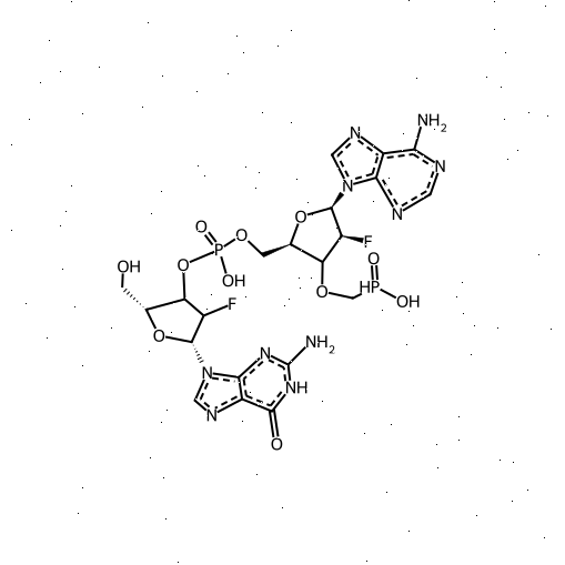 Nc1nc2c(ncn2[C@@H]2O[C@H](CO)C(OP(=O)(O)OC[C@H]3O[C@@H](n4cnc5c(N)ncnc54)[C@@H](F)C3OC[PH](=O)O)C2F)c(=O)[nH]1